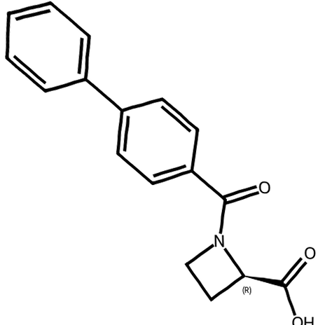 O=C(O)[C@H]1CCN1C(=O)c1ccc(-c2ccccc2)cc1